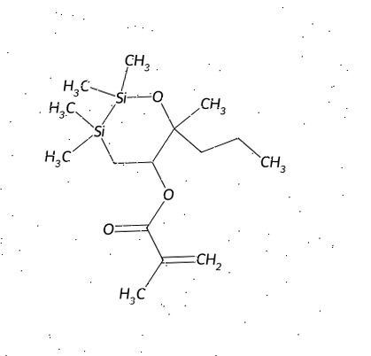 C=C(C)C(=O)OC1C[Si](C)(C)[Si](C)(C)OC1(C)CCC